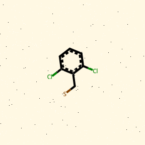 [S]Cc1c(Cl)cccc1Cl